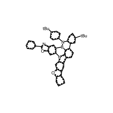 CC(C)(C)c1ccc(N2B3c4cc5nc(-c6ccccc6)oc5cc4-n4c5cc6oc7ccccc7c6cc5c5ccc(c3c54)-c3cc(C(C)(C)C)ccc32)cc1